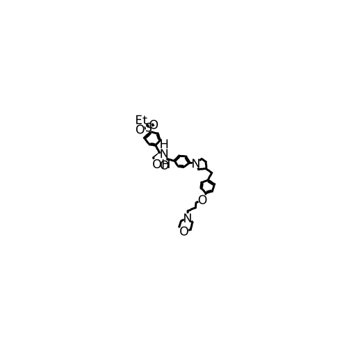 CCS(=O)(=O)c1ccc([C@H](CO)NC(=O)c2ccc(N3CCC(Cc4ccc(OCCCN5CCOCC5)cc4)C3)cc2)cc1